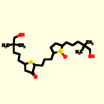 CC(C)(CO)CCCC1CC(=O)C(CCCC2CCC(CCCC(C)(C)CO)[S+]2[O-])S1